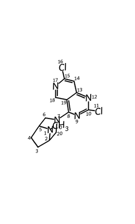 CN1C2CCC1CN(c1nc(Cl)nc3cc(Cl)ncc13)C2